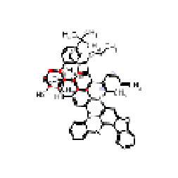 C=C/C=C\C(=C(/C)N1c2cc(N(c3ccccc3-c3ccc(C(C)(C)C)cc3)[C@H]3CC(OCC)=C3CC)c(Bc3ccccc3S)cc2B2c3ccccc3Sc3c2c1cc1oc2ccccc2c31)c1ccc(C(C)(C)C)cc1